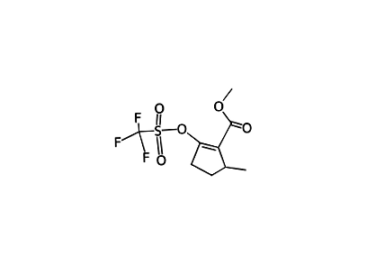 COC(=O)C1=C(OS(=O)(=O)C(F)(F)F)CCC1C